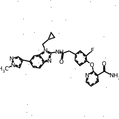 Cn1cc(-c2ccc3nc(NC(=O)Cc4ccc(Oc5ncccc5C(N)=O)c(F)c4)n(CC4CC4)c3c2)cn1